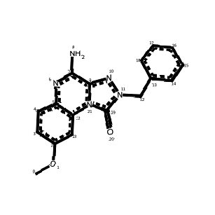 COc1ccc2nc(N)c3nn(Cc4ccccc4)c(=O)n3c2c1